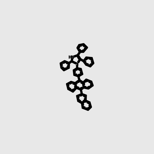 c1ccc(C2=C(c3ccccc3)N(c3ccc(-c4c5ccccc5c(-c5ccc6ccccc6c5)c5ccccc45)cc3)C(c3ccccc3)N2)cc1